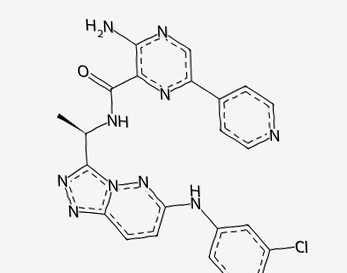 C[C@@H](NC(=O)c1nc(-c2ccncc2)cnc1N)c1nnc2ccc(Nc3cccc(Cl)c3)nn12